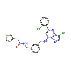 O=C(Cc1ccsc1)NCc1cccc(CNc2cc(-c3ccccc3Cl)nc3c(Br)cnn23)c1